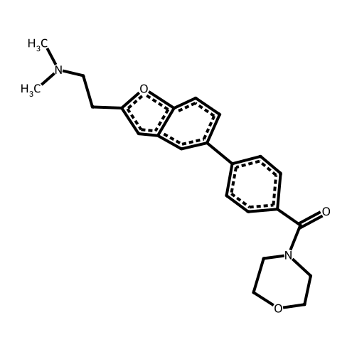 CN(C)CCc1cc2cc(-c3ccc(C(=O)N4CCOCC4)cc3)ccc2o1